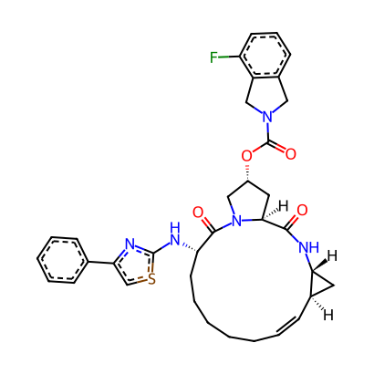 O=C1N[C@@H]2C[C@H]2/C=C\CCCCC[C@H](Nc2nc(-c3ccccc3)cs2)C(=O)N2C[C@H](OC(=O)N3Cc4cccc(F)c4C3)C[C@@H]12